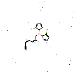 C#C/C=C\C=C(\F)CB(C1C=CC=C1F)C1C=CC=C1F